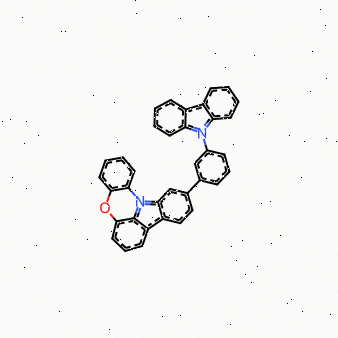 c1cc(-c2ccc3c4cccc5c4n(c3c2)-c2ccccc2O5)cc(-n2c3ccccc3c3ccccc32)c1